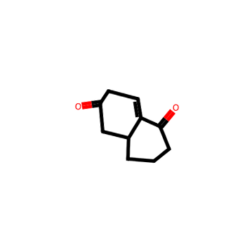 O=C1CC=C2C(=O)CCCC2C1